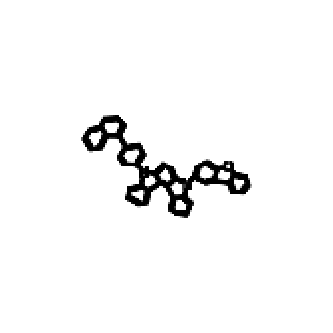 c1ccc2c(-c3ccc(-n4c5ccccc5c5c6c7ccccc7n(-c7ccc8oc9ccccc9c8c7)c6ccc54)cc3)cccc2c1